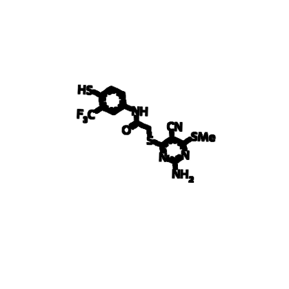 CSc1nc(N)nc(SCC(=O)Nc2ccc(S)c(C(F)(F)F)c2)c1C#N